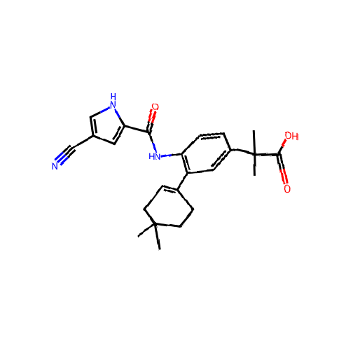 CC1(C)CC=C(c2cc(C(C)(C)C(=O)O)ccc2NC(=O)c2cc(C#N)c[nH]2)CC1